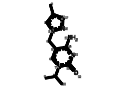 Cc1cn(Cc2cn(C(C)C)c(=O)nc2N)nn1